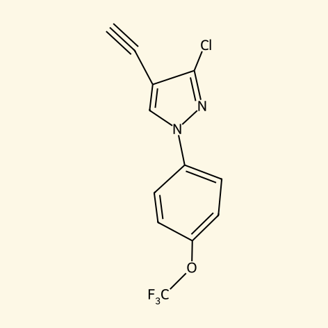 C#Cc1cn(-c2ccc(OC(F)(F)F)cc2)nc1Cl